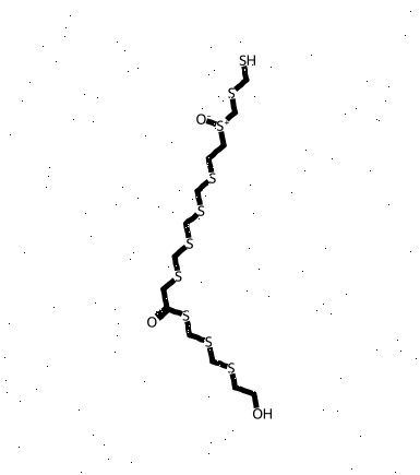 O=C(CSCSCSCSCC[S+]([O-])CSCS)SCSCSCCO